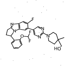 CC1(CO)CCN(c2ncc(-c3cc4c(cc3F)nc3n4C(c4ccccc4OC(F)F)CC3)cn2)CC1